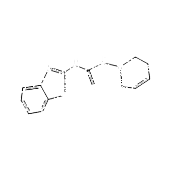 O=C(Nc1nc2ccccc2s1)NN1CC=CCC1